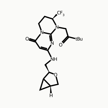 CC(C)(C)C(=O)CN1c2nc(NC[C@H]3OC[C@@H]4CC43)cc(=O)n2CC[C@H]1C(F)(F)F